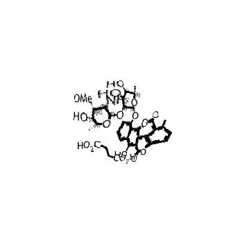 CO[C@@H]1[C@@H](N)[C@@H](O[C@H]2[C@H](Oc3cccc4c(O)c5c(=O)oc6ccc(C)c7c(=O)oc(c34)c5c67)O[C@H](C)[C@H](O)[C@]2(C)O)O[C@H](C)[C@@H]1O.O=C(O)CCC(=O)O